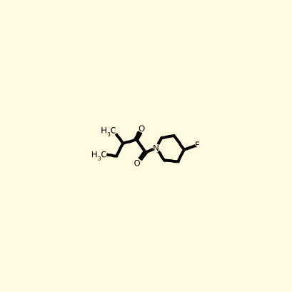 CCC(C)C(=O)C(=O)N1CCC(F)CC1